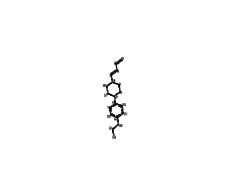 C=CC=CC1CCC(c2ccc(CCC)cc2)CC1